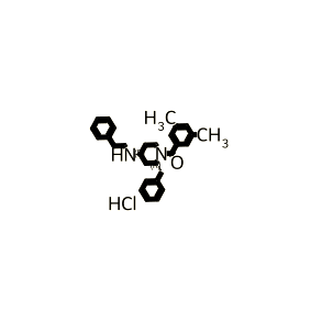 Cc1cc(C)cc(C(=O)N2CC[C@@H](NCCc3ccccc3)C[C@H]2Cc2ccccc2)c1.Cl